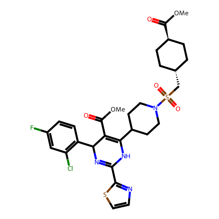 COC(=O)C1=C(C2CCN(S(=O)(=O)C[C@H]3CC[C@H](C(=O)OC)CC3)CC2)NC(c2nccs2)=NC1c1ccc(F)cc1Cl